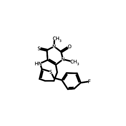 Cn1c2c(c(=S)n(C)c1=O)N/C(SCc1ccc(F)cc1)=C/CCC2